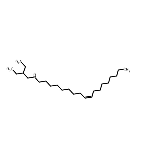 CCCCCCCC/C=C\CCCCCCCCNCC(CC)CN